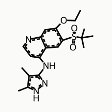 CCOc1cc2nccc(Nc3n[nH]c(C)c3C)c2cc1S(=O)(=O)C(C)(C)C